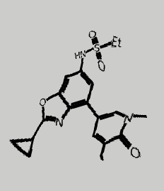 CCS(=O)(=O)Nc1cc(-c2cc(C)c(=O)n(C)c2)c2nc(C3CC3)oc2c1